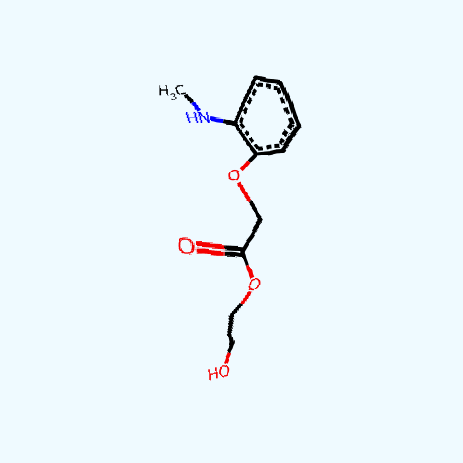 CNc1ccccc1OCC(=O)OCCO